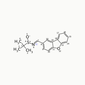 CC(C)(C)[S+]([O-])/N=C/c1ccc2oc3ccccc3c2c1